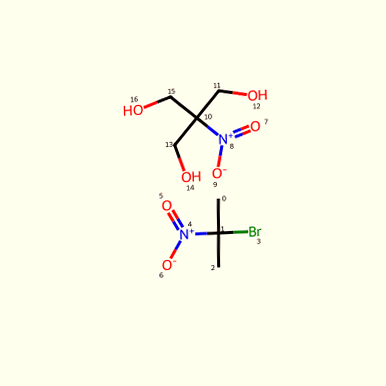 CC(C)(Br)[N+](=O)[O-].O=[N+]([O-])C(CO)(CO)CO